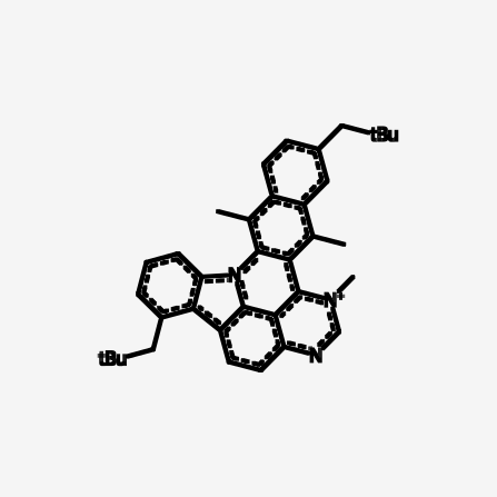 Cc1c2cc(CC(C)(C)C)ccc2c(C)c2c1c1c3c(ccc4c5c(CC(C)(C)C)cccc5n2c43)nc[n+]1C